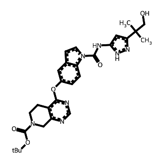 CC(C)(C)OC(=O)N1CCc2c(ncnc2Oc2ccc3c(ccn3C(=O)Nc3cc(C(C)(C)CO)n[nH]3)c2)C1